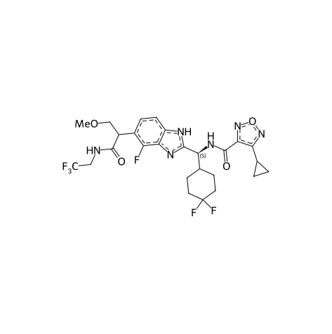 COCC(C(=O)NCC(F)(F)F)c1ccc2[nH]c([C@@H](NC(=O)c3nonc3C3CC3)C3CCC(F)(F)CC3)nc2c1F